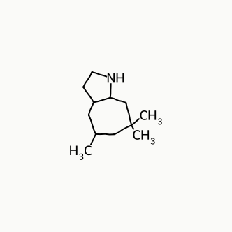 CC1CC2CCNC2CC(C)(C)C1